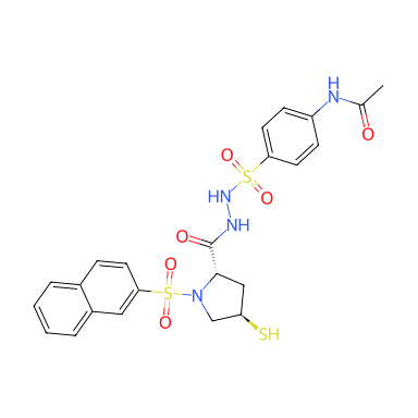 CC(=O)Nc1ccc(S(=O)(=O)NNC(=O)[C@@H]2C[C@@H](S)CN2S(=O)(=O)c2ccc3ccccc3c2)cc1